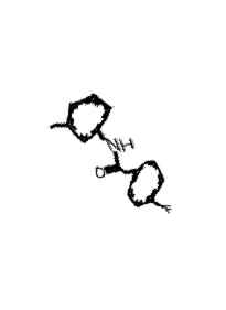 Cc1cc[c]c(NC(=O)c2ccc(F)cc2)c1